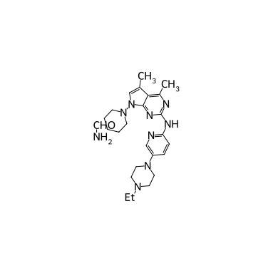 CCN1CCN(c2ccc(Nc3nc(C)c4c(C)cn(N5CCCCC5)c4n3)nc2)CC1.NC=O